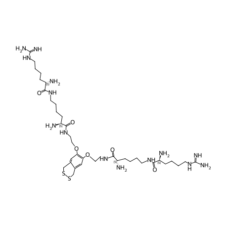 N=C(N)NCCCC[C@H](N)C(=O)NCCCC[C@H](N)C(=O)NCCOc1cc2c(cc1OCCNC(=O)[C@@H](N)CCCCNC(=O)[C@@H](N)CCCCNC(=N)N)CSSC2